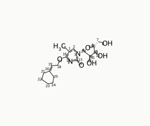 Cc1cn([C@@H]2O[C@H](CO)[C@@H](O)[C@H]2O)c(=O)nc1OCC=C1CCCCC1